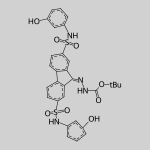 CC(C)(C)OC(=O)NN=C1c2cc(S(=O)(=O)Nc3cccc(O)c3)ccc2-c2ccc(S(=O)(=O)Nc3cccc(O)c3)cc21